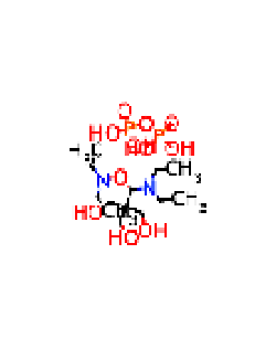 CCN(CC)OC(N(CC)CC)C(CO)(CO)CO.O=P(O)(O)OP(=O)(O)O